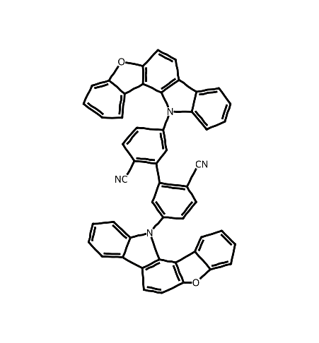 N#Cc1ccc(-n2c3ccccc3c3ccc4oc5ccccc5c4c32)cc1-c1cc(-n2c3ccccc3c3ccc4oc5ccccc5c4c32)ccc1C#N